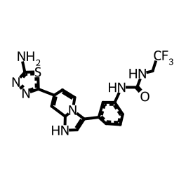 Nc1nnc(C2=CC3NC=C(c4cccc(NC(=O)NCC(F)(F)F)c4)N3C=C2)s1